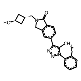 Cc1c(-c2ccc3c(c2)CN(C[C@H]2C[C@H](O)C2)C3=O)nnn1-c1ccccc1F